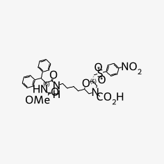 COC(=O)N[C@H](C(=O)NCCCCC1CN(C(=O)O)C[C@@H](CS(=O)(=O)c2ccc([N+](=O)[O-])cc2)O1)C(c1ccccc1)c1ccccc1